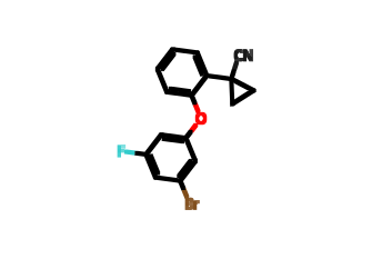 N#CC1(c2ccccc2Oc2cc(F)cc(Br)c2)CC1